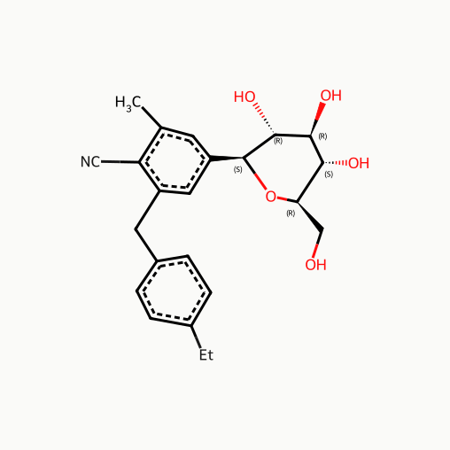 CCc1ccc(Cc2cc([C@@H]3O[C@H](CO)[C@@H](O)[C@H](O)[C@H]3O)cc(C)c2C#N)cc1